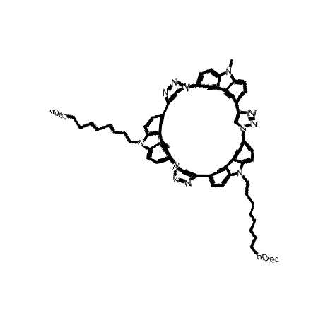 CCCCCCCCCCCCCCCCCCn1c2ccc3cc2c2cc(ccc21)n1cc(nn1)c1ccc2c(c1)c1cc(ccc1n2C)n1cc(nn1)c1ccc2c(c1)c1cc(ccc1n2CCCCCCCCCCCCCCCCCC)n1cc3nn1